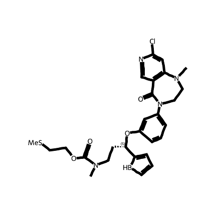 CSCCOC(=O)N(C)CC[C@H](Oc1cccc(N2CCN(C)c3cc(Cl)ncc3C2=O)c1)C1=CC=CB1